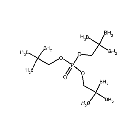 BC(B)(B)COP(=O)(OCC(B)(B)B)OCC(B)(B)B